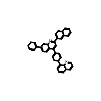 C1=CC2=CC(C3=NC4CC(C5=CCCC=C5)=CC=C4C(C4=CCC(C5=CC=CC6C=CC=NC56)C=C4)=C3)=CCC2C=C1